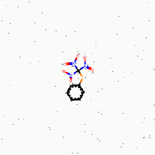 O=[N+]([O-])C([P]c1ccccc1)([N+](=O)[O-])[N+](=O)[O-]